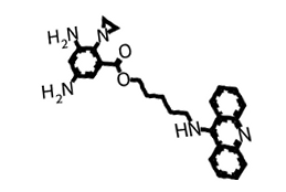 Nc1cc(N)c(N2CC2)c(C(=O)OCCCCCNc2c3ccccc3nc3ccccc23)c1